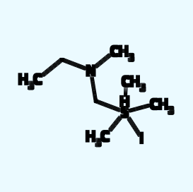 CCN(C)C[SH](C)(C)(C)I